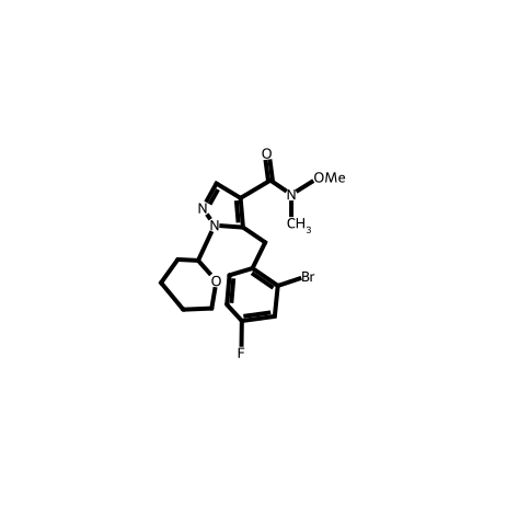 CON(C)C(=O)c1cnn(C2CCCCO2)c1Cc1ccc(F)cc1Br